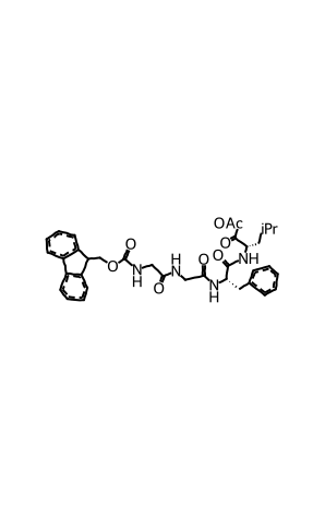 CC(=O)OC(=O)[C@H](CC(C)C)NC(=O)[C@H](Cc1ccccc1)NC(=O)CNC(=O)CNC(=O)OCC1c2ccccc2-c2ccccc21